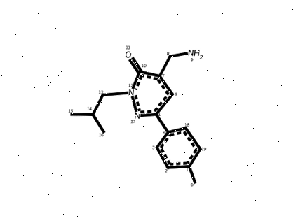 Cc1ccc(-c2cc(CN)c(=O)n(CC(C)C)n2)cc1